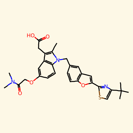 Cc1c(CC(=O)O)c2cc(OCC(=O)N(C)C)ccc2n1Cc1ccc2oc(-c3nc(C(C)(C)C)cs3)cc2c1